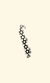 CCCC1CCC(C2CCC(c3ccc(-c4ccc(-c5ccc(C6CO6)c(F)c5F)cc4)cc3F)CC2)CC1